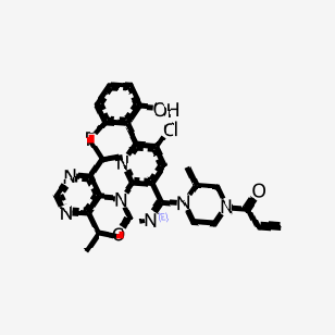 C=CC(=O)N1CCN(/C(=N/C)c2cc(Cl)c(-c3c(O)cccc3F)nc2N(C=O)c2c(C(C)C)ncnc2C(C)C)C(C)C1